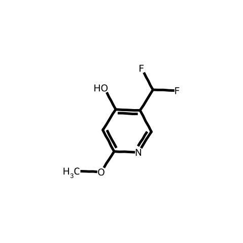 COc1cc(O)c(C(F)F)cn1